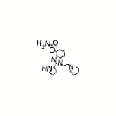 NC(=O)Oc1cccc2c1nc(C1CCCN1)n2CCN1CCCCC1